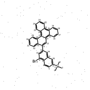 C[Si](C)(C)c1ccc2c(Br)cc(-c3cc4c5ccccc5c5ccccc5c4c4ccccc34)cc2c1